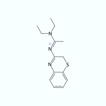 CCN(CC)/C(C)=N/C1=Nc2ccccc2SC1